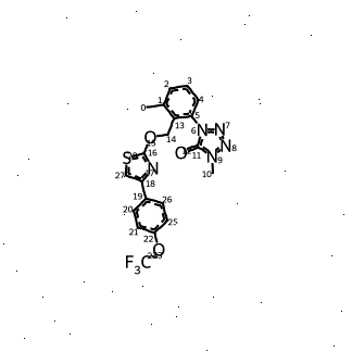 Cc1cccc(-n2nnn(C)c2=O)c1COc1nc(-c2ccc(OC(F)(F)F)cc2)cs1